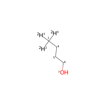 [2H]C([2H])([2H])CCCO